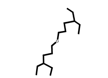 CCC(CC)CCCOCCCC(CC)CC